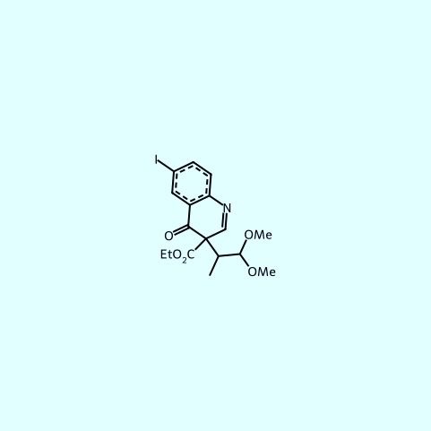 CCOC(=O)C1(C(C)C(OC)OC)C=Nc2ccc(I)cc2C1=O